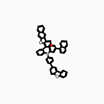 c1cc(-c2cccc3ccccc23)cc(N(c2ccc(-c3ccc4oc5ccccc5c4c3)cc2)c2ccccc2-c2cccc3c2oc2cc4ccccc4cc23)c1